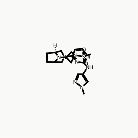 Cn1cc(Nc2nccc(N3CC4CC[C@@H](C3)N4C3CN(S(C)(=O)=O)C3)n2)cn1